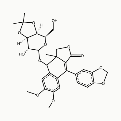 COc1cc2c(cc1OC)C(OC1O[C@H](CO)[C@@H]3OC(C)(C)O[C@@H]3[C@H]1O)C1(C)COC(=O)C1=C2c1ccc2c(c1)OCO2